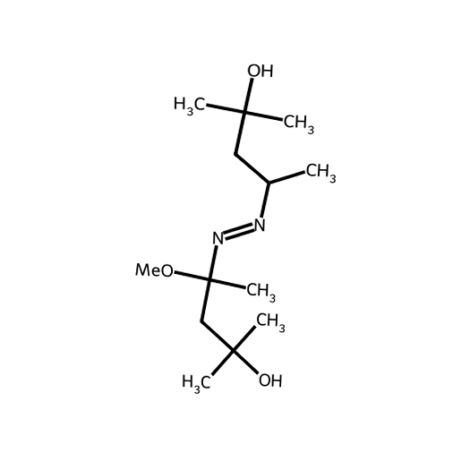 COC(C)(CC(C)(C)O)N=NC(C)CC(C)(C)O